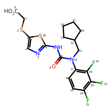 O=C(O)CSc1cnc(NC(=O)N(CC2CCCC2)c2ccc(F)c(F)c2F)s1